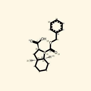 O=C(O)[C@@H]1C[C@@H]2CCCC[C@@H]2N1C(=O)OCc1ccccc1